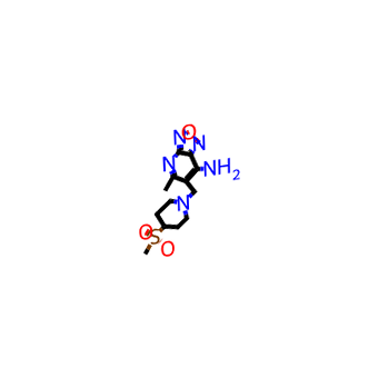 Cc1nc2nonc2c(N)c1CN1CCC(S(C)(=O)=O)CC1